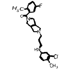 Cc1ccc(NCCCN2CC3CN(C(=O)c4cc(F)ccc4C)CC3C2)cc1Cl